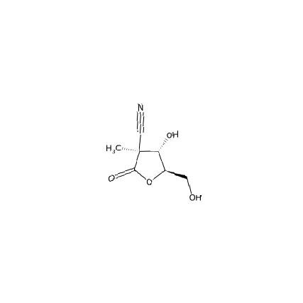 C[C@@]1(C#N)C(=O)O[C@H](CO)[C@H]1O